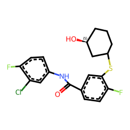 O=C(Nc1ccc(F)c(Cl)c1)c1ccc(F)c(SC2CCC[C@H](O)C2)c1